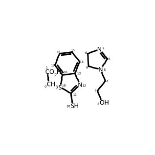 CC(=O)O.OCCN1C=NCC1.Sc1nc2ccccc2s1